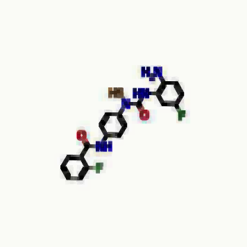 Nc1ccc(F)cc1NC(=O)N(S)c1ccc(NC(=O)c2ccccc2F)cc1